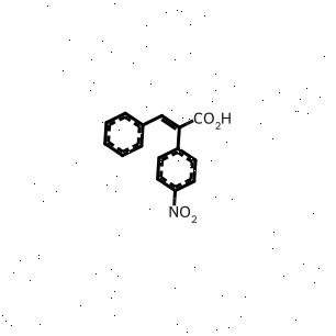 O=C(O)/C(=C/c1ccccc1)c1ccc([N+](=O)[O-])cc1